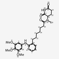 COc1cc(Nc2ncccc2CCCCCCC(=O)N(I)C2CCC(=O)NC2=O)cc(OC)c1OC